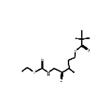 CCOC(=O)NCC(=O)C(C)CCOC(=O)C(C)(C)C